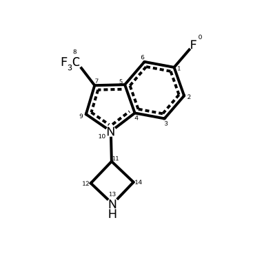 Fc1ccc2c(c1)c(C(F)(F)F)cn2C1CNC1